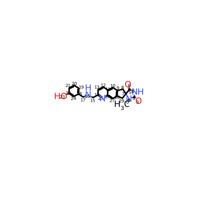 CN1C(=O)NC(=O)C12Cc1cc3ccc(CNCc4cccc(O)c4)nc3cc1C2